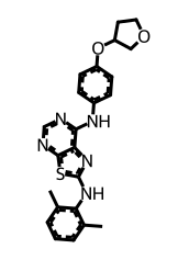 Cc1cccc(C)c1Nc1nc2c(Nc3ccc(OC4CCOC4)cc3)ncnc2s1